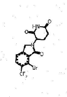 O=C1CCC(N2Cc3ccc(C(F)(F)F)c(Br)c3C2=O)C(=O)N1